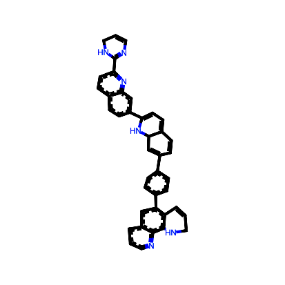 C1=CN=C(c2ccc3ccc(C4=CC=C5C=CC(c6ccc(-c7cc8cccnc8c8c7C=CCN8)cc6)=CC5N4)cc3n2)NC1